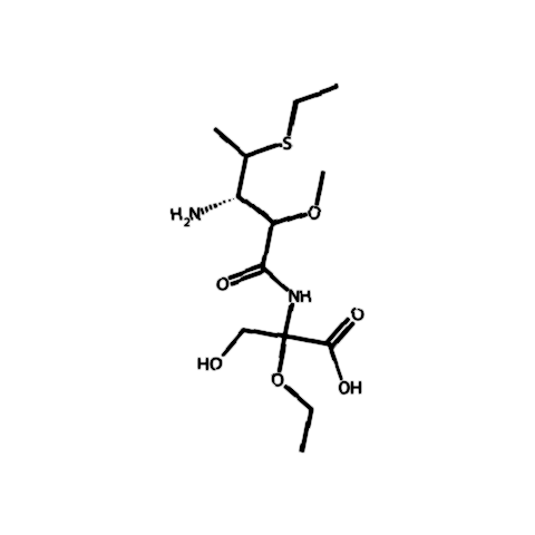 CCOC(CO)(NC(=O)C(OC)[C@H](N)C(C)SCC)C(=O)O